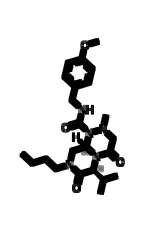 CCCCN1C[C@H]2N(C(=O)CN(C)N2C(=O)NCc2ccc(OC)cc2)[C@@H](C(C)C)C1=O